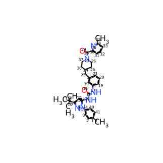 Cc1ccc(-n2nc(C(C)(C)C)cc2NC(=O)Nc2cccc(CC3CCN(C(=O)c4cccc(C)n4)CC3)c2)cc1